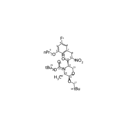 CCCOc1cc(F)cc(CC(C(O)[C@H]2CO[C@@H](OCC(C)(C)C)[C@H](C)N2C(=O)OC(C)(C)C)[N+](=O)[O-])c1